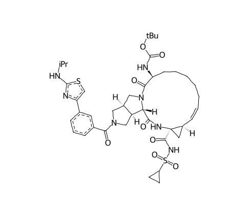 CC(C)Nc1nc(-c2cccc(C(=O)N3C[C@H]4CN5C(=O)[C@@H](NC(=O)OC(C)(C)C)CCCCC/C=C\[C@H]6C[C@@]6(C(=O)NS(=O)(=O)C6CC6)NC(=O)[C@@H]5[C@H]4C3)c2)cs1